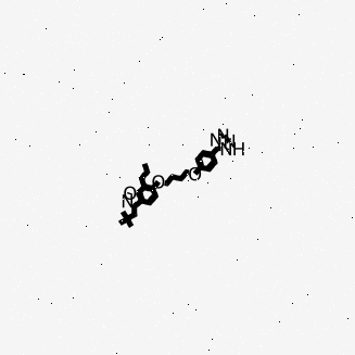 CCCc1c(OCCCCOc2ccc(-c3nnn[nH]3)cc2)ccc2c(CC(C)(C)C)noc12